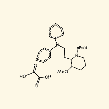 CCCCCN1CCCC(OC)C1CCN(c1ccccc1)c1ccccc1.O=C(O)C(=O)O